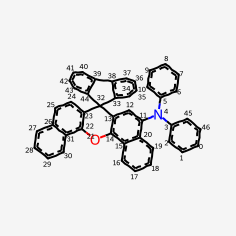 c1ccc(N(c2ccccc2)c2cc3c(c4ccccc24)Oc2c(ccc4ccccc24)C32c3ccccc3-c3ccccc32)cc1